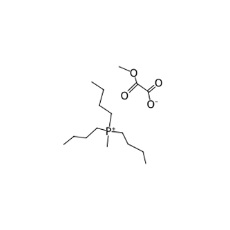 CCCC[P+](C)(CCCC)CCCC.COC(=O)C(=O)[O-]